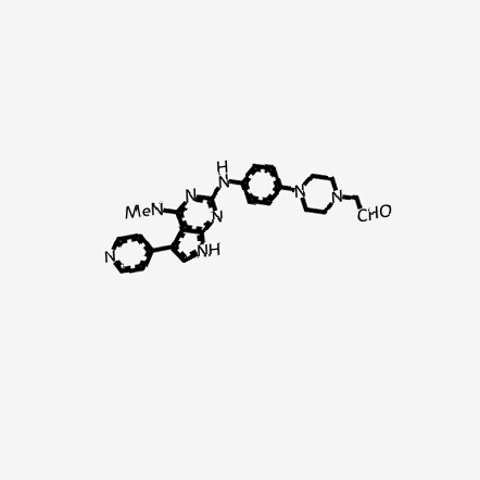 CNc1nc(Nc2ccc(N3CCN(CC=O)CC3)cc2)nc2[nH]cc(-c3ccncc3)c12